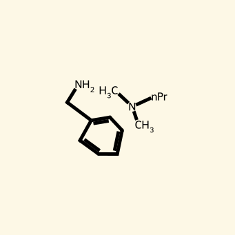 CCCN(C)C.NCc1ccccc1